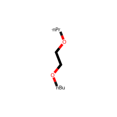 CC[CH]OCCOCCCC